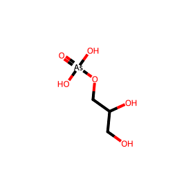 O=[As](O)(O)OCC(O)CO